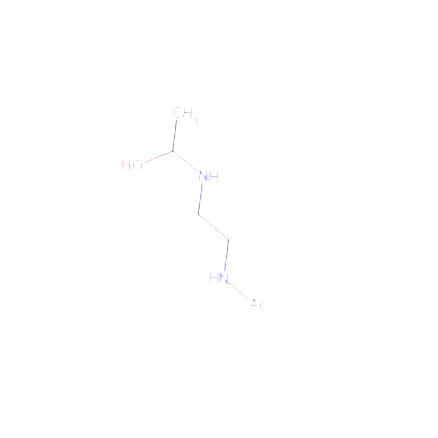 CC(=O)NCCNC(C)O